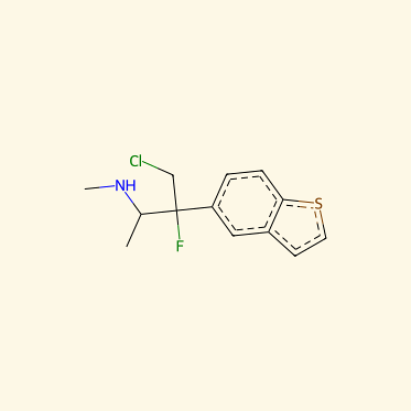 CNC(C)C(F)(CCl)c1ccc2sccc2c1